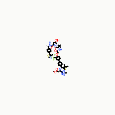 COC(=O)C[C@@H]1N=C(c2ccc(-c3ccc(OCC(=O)NC(C(=O)N4C[C@H](O)C[C@H]4C(=O)N[C@@H](C)c4ccc(-c5scnc5C)cc4)C(C)(C)C)c(C(F)(F)F)c3)cc2)c2c(sc(C)c2C)-n2c(C)nnc21